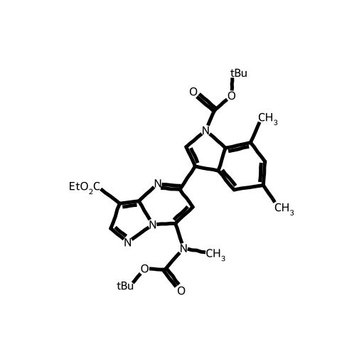 CCOC(=O)c1cnn2c(N(C)C(=O)OC(C)(C)C)cc(-c3cn(C(=O)OC(C)(C)C)c4c(C)cc(C)cc34)nc12